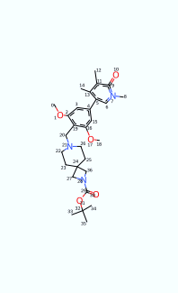 COc1cc(-c2cn(C)c(=O)c(C)c2C)cc(OC)c1CN1CCC2(CC1)CN(C(=O)OC(C)(C)C)C2